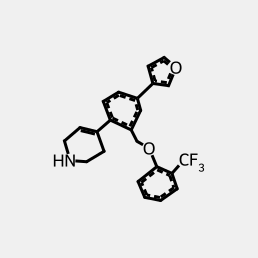 FC(F)(F)c1ccccc1OCc1cc(-c2ccoc2)ccc1C1=CCNCC1